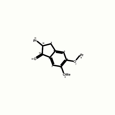 COc1cc2c(cc1OC(C)C)CC(C(C)C)C2=O